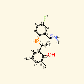 CCC(Pc1ccc(F)cc1/C=N/C)c1cc(C)cc(C)c1O